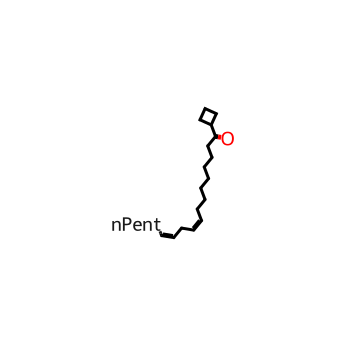 CCCCC/C=C\C/C=C\CCCCCCCC(=O)C1CCC1